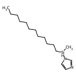 CCCCCCCCCCCC[SiH](C)n1ccnc1